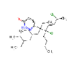 CCCCC(Cl)(CCC(C)Cl)C(CC)(CC(CC)CC(CC)CC)c1ccc(=O)[nH]n1